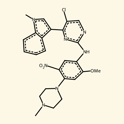 COc1cc(N2CCN(C)CC2)c([N+](=O)[O-])cc1Nc1ncc(Cl)c(-c2cn(C)c3ccccc23)n1